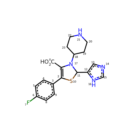 O=C(O)C1=C(c2ccc(F)cc2)SC(c2cnc[nH]2)N1C1CCNCC1